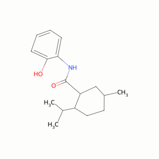 CC1CCC(C(C)C)C(C(=O)Nc2ccccc2O)C1